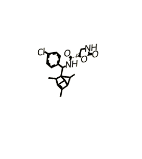 CC1=C2C(C)C3(C(NC(=O)[C@@H]4CNC(=O)O4)c4ccc(Cl)cc4)C(C)C1C23